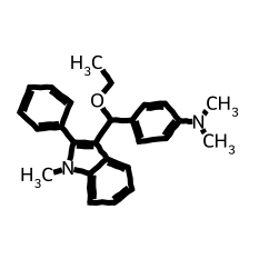 CCOC(c1ccc(N(C)C)cc1)c1c(-c2ccccc2)n(C)c2ccccc12